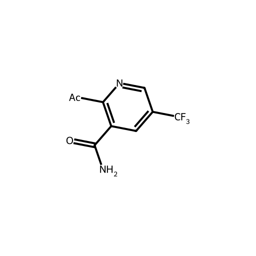 CC(=O)c1ncc(C(F)(F)F)cc1C(N)=O